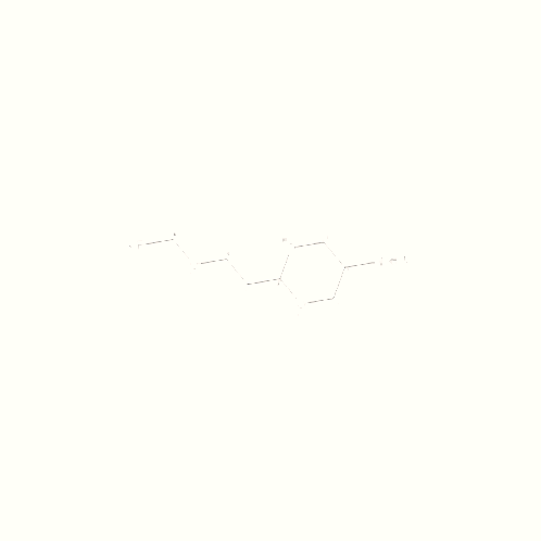 CCCCCC1COC(CCOCF)OC1